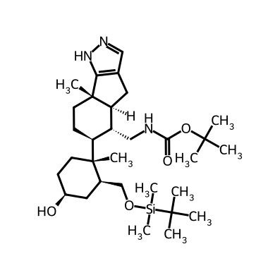 CC(C)(C)OC(=O)NC[C@@H]1[C@@H]([C@@]2(C)CC[C@H](O)C[C@@H]2CO[Si](C)(C)C(C)(C)C)CC[C@]2(C)c3[nH]ncc3C[C@@H]12